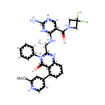 COc1cc(-c2cccc3nc([C@H](C)Nc4nc(N)ncc4C(=O)N4CC(F)(F)C4)n(-c4ccccc4)c(=O)c23)ccn1